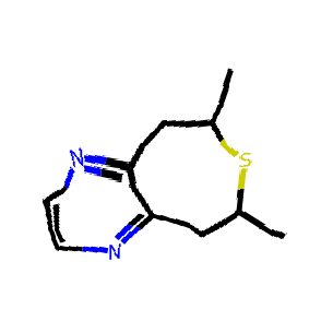 CC1Cc2nccnc2CC(C)S1